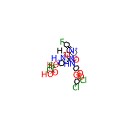 C[N+]1(Cc2ccc(F)cc2)CCC/C(=[N+](\C(=O)Nc2ccc(OS(=O)(=O)c3ccc(Cl)cc3Cl)cc2)[C@@H](Cc2ccc(O)cc2)C(N)=O)C1.O=C(O)C(F)(F)F